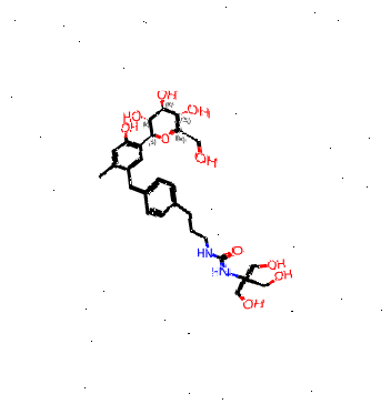 Cc1cc(O)c([C@@H]2O[C@H](CO)[C@@H](O)[C@H](O)[C@H]2O)cc1Cc1ccc(CCCNC(=O)NC(CO)(CO)CO)cc1